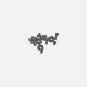 COc1cc(C(=O)NCC(O)(c2cc3c(c(-c4ccc(F)cc4)n2)OCC3(N)C(F)(F)F)C2CC2)ccc1OC1CC1